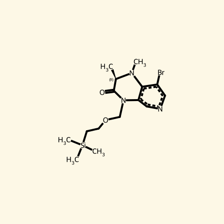 C[C@@H]1C(=O)N(COCC[Si](C)(C)C)c2cncc(Br)c2N1C